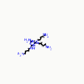 NCCCCNc1nc(N)nc(N(CCCCN)CCCCN)n1